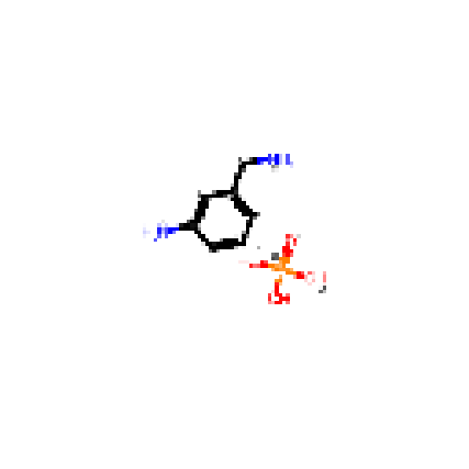 NCc1cccc(N)c1.O=P(O)(O)O